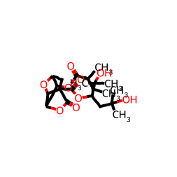 CCC(C)C(=O)OC1C2CC3(C(=O)OC(CC(C)(C)O)C(C)(C)O)C(=O)OC1C3O2